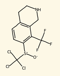 [O-][S+](c1ccc2c(c1C(F)(F)F)CNCC2)C(Cl)(Cl)Cl